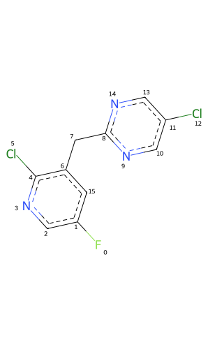 Fc1cnc(Cl)c(Cc2ncc(Cl)cn2)c1